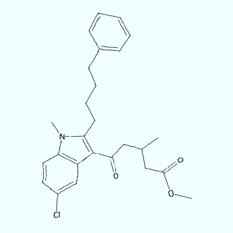 COC(=O)CC(C)CC(=O)c1c(CCCCc2ccccc2)n(C)c2ccc(Cl)cc12